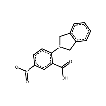 O=C(O)c1cc([N+](=O)[O-])ccc1N1Cc2ccccc2C1